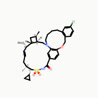 CO[C@H]1/C=C/C[C@@H](C)[C@@H](C2CC2)S(=O)(=O)NC(=O)c2ccc3c(c2)N(CCCCc2cc(Cl)ccc2CO3)C[C@H]2[C@H]1C[C@H]2C